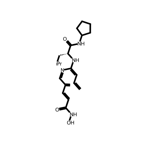 C=C/C=C(\N=C/C(=C)/C=C/C(=O)NO)N[C@H](CC(C)C)C(=O)NC1CCCC1